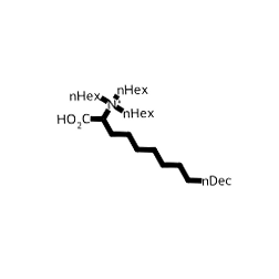 CCCCCCCCCCCCCCCCCC(C(=O)O)[N+](CCCCCC)(CCCCCC)CCCCCC